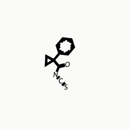 O=C(N=C=S)C1(c2ccccc2)CC1